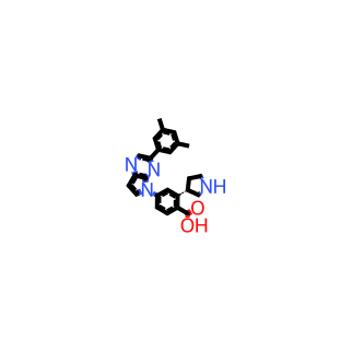 Cc1cc(C)cc(-c2cnc3ccn(-c4ccc(C(=O)O)c([C@@H]5CCNC5)c4)c3n2)c1